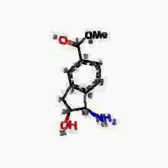 COC(=O)c1ccc2c(c1)C[C@H](O)[C@@H]2N